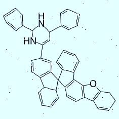 C1=CC2c3ccc(C4=CC(c5ccccc5)NC(c5ccccc5)N4)cc3C3(c4ccccc4-c4c3ccc3c5c(oc43)CCC=C5)C2C=C1